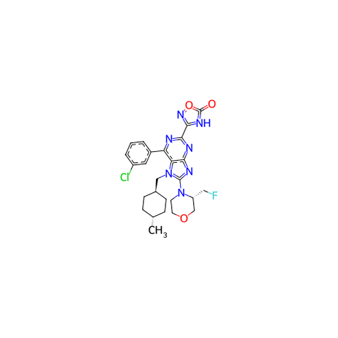 C[C@H]1CC[C@H](Cn2c(N3CCOC[C@H]3CF)nc3nc(-c4noc(=O)[nH]4)nc(-c4cccc(Cl)c4)c32)CC1